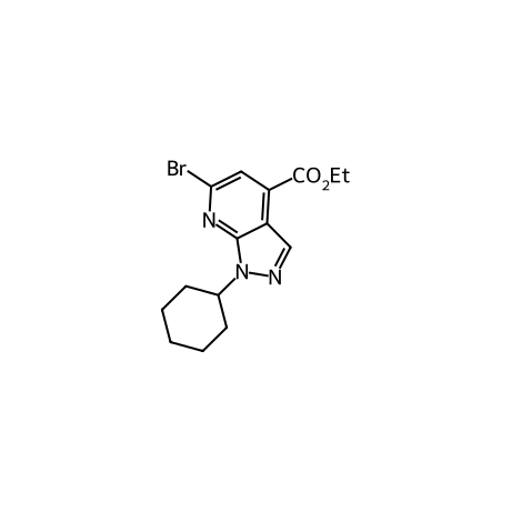 CCOC(=O)c1cc(Br)nc2c1cnn2C1CCCCC1